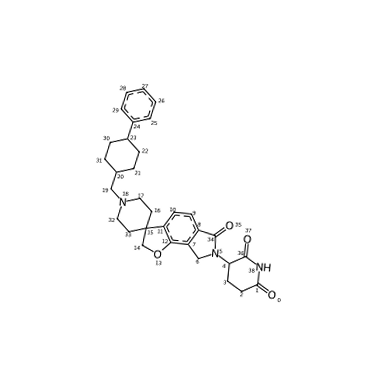 O=C1CCC(N2Cc3c(ccc4c3OCC43CCN(CC4CCC(c5ccccc5)CC4)CC3)C2=O)C(=O)N1